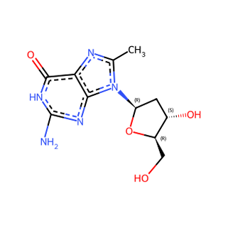 Cc1nc2c(=O)[nH]c(N)nc2n1[C@H]1C[C@H](O)[C@@H](CO)O1